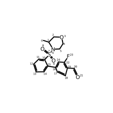 CC1COCCN1S(=O)(=O)c1ccccc1-c1ccc(C=O)c(F)c1